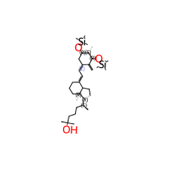 C=C1/C(=C\C=C2CCC[C@@]3(C)C2CC[C@@H]3[C@@H](C)CCCC(C)(C)O)C[C@@H](O[Si](C)(C)C)[C@H](C)[C@H]1O[Si](C)(C)C